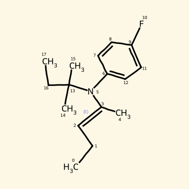 CC/C=C(\C)N(c1ccc(F)cc1)C(C)(C)CC